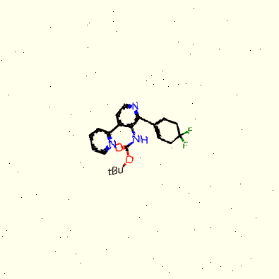 CC(C)(C)OC(=O)Nc1c(-c2ccccn2)ccnc1C1=CCC(F)(F)CC1